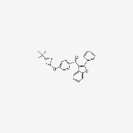 CC(C)(C)N1CC(Oc2ccc(C(=O)c3c(-c4ccccc4)oc4ccccc34)cc2)C1